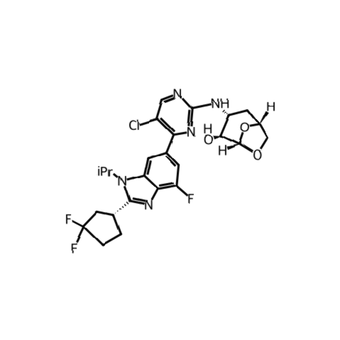 CC(C)n1c([C@@H]2CCC(F)(F)C2)nc2c(F)cc(-c3nc(N[C@@H]4C[C@@H]5CO[C@@H](O5)[C@H]4O)ncc3Cl)cc21